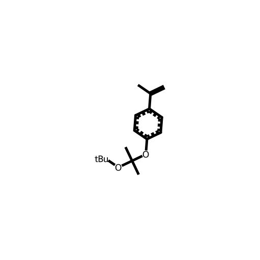 C=C(C)c1ccc(OC(C)(C)OC(C)(C)C)cc1